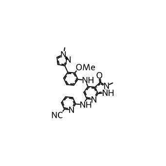 COc1c(Nc2cc(Nc3cccc(C#N)n3)nc3[nH]n(C)c(=O)c23)cccc1-c1ccn(C)n1